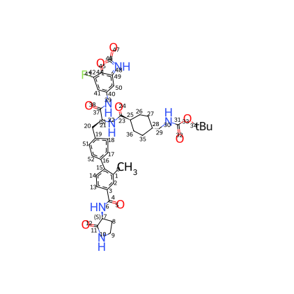 Cc1cc(C(=O)N[C@H]2CCNC2=O)ccc1-c1ccc(C[C@H](NC(=O)[C@H]2CC[C@H](CNC(=O)OC(C)(C)C)CC2)C(=O)Nc2cc(F)c3oc(=O)[nH]c3c2)cc1